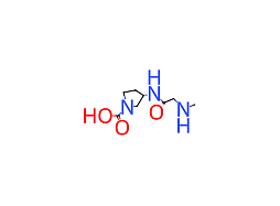 CNCC(=O)N[C@H]1CCN(C(=O)O)C1